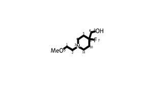 COCCN1CCC(F)(CO)CC1